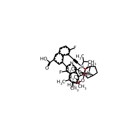 Cc1nc(N2CC3CCC(C2)N3C(=O)OC(C)(C)C)c2cnc(-c3cc(C(=O)O)cc4ccc(F)c(C#C[Si](C(C)C)(C(C)C)C(C)C)c34)c(F)c2c1C